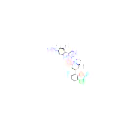 O=C(O)Nc1ccc(-c2cnc([C@@H]3CC[C@H]4CC(c5c(F)ccc(Cl)c5OC(F)F)=CC(=O)N43)[nH]2)cc1